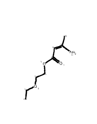 CCOCCOC(=O)/C=C(/C)N